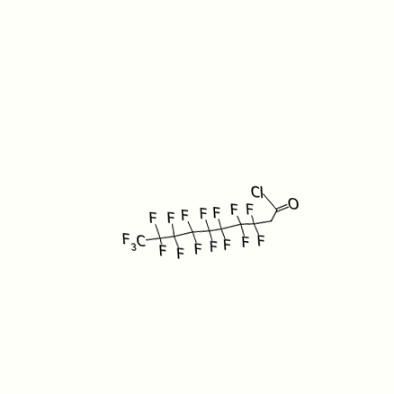 O=C(Cl)CC(F)(F)C(F)(F)C(F)(F)C(F)(F)C(F)(F)C(F)(F)C(F)(F)C(F)(F)F